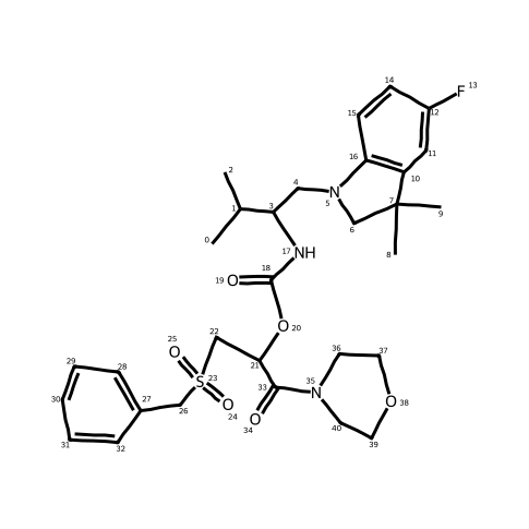 CC(C)C(CN1CC(C)(C)c2cc(F)ccc21)NC(=O)OC(CS(=O)(=O)Cc1ccccc1)C(=O)N1CCOCC1